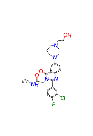 CC(C)NC(=O)Cn1c(-c2ccc(F)c(Cl)c2)nc2ccc(N3CCCN(CCO)CC3)cc2c1=O